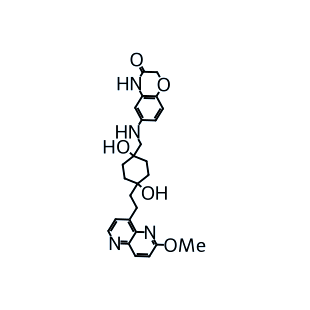 COc1ccc2nccc(CCC3(O)CCC(O)(CNc4ccc5c(c4)NC(=O)CO5)CC3)c2n1